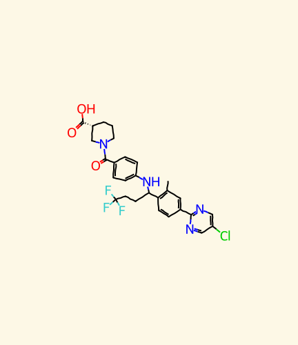 Cc1cc(-c2ncc(Cl)cn2)ccc1C(CCC(F)(F)F)Nc1ccc(C(=O)N2CCC[C@@H](C(=O)O)C2)cc1